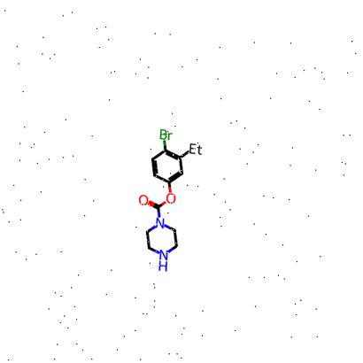 CCc1cc(OC(=O)N2CCNCC2)ccc1Br